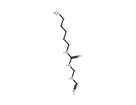 CCCCCCOC(=O)OCO[C]=O